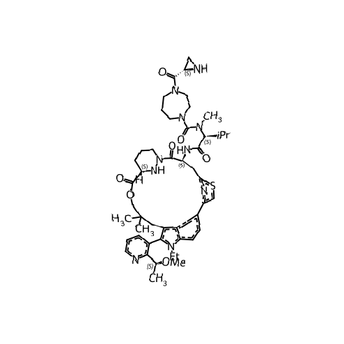 CCn1c(-c2cccnc2[C@H](C)OC)c2c3cc(ccc31)-c1csc(n1)C[C@H](NC(=O)[C@H](C(C)C)N(C)C(=O)N1CCCN(C(=O)[C@@H]3CN3)CC1)C(=O)N1CCC[C@H](N1)C(=O)OCC(C)(C)C2